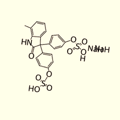 Cc1cccc2c1NC(=O)C2(c1ccc(OS(=O)(=O)O)cc1)c1ccc(OS(=O)(=O)O)cc1.[NaH].[NaH]